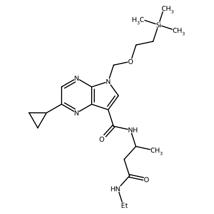 CCNC(=O)CC(C)NC(=O)c1cn(COCC[Si](C)(C)C)c2ncc(C3CC3)nc12